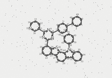 c1ccc(-c2ccc(-c3nc(-c4cccnc4)nc(-c4cccc5c4sc4c5ccc5c6ccccc6n(-c6ccccc6)c54)n3)cc2)cc1